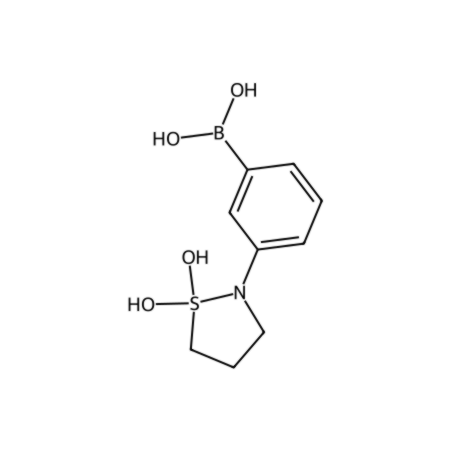 OB(O)c1cccc(N2CCCS2(O)O)c1